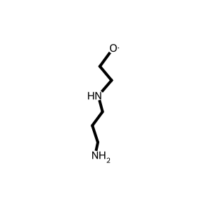 NCCCNCC[O]